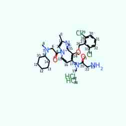 CC1=C[N+]2(C(=O)CN(C)C3CCCCC3)C=CC(N(C)C(=O)CN)=C(OCc3c(Cl)cccc3Cl)C2=N1.Cl.Cl